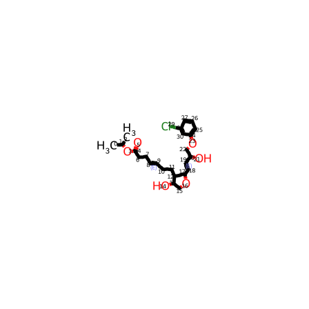 CC(C)OC(=O)CC/C=C/CCC1C(O)COC1/C=C/C(O)COc1cccc(Cl)c1